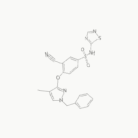 Cc1cn(Cc2ccccc2)nc1Oc1ccc(S(=O)(=O)Nc2ncns2)cc1C#N